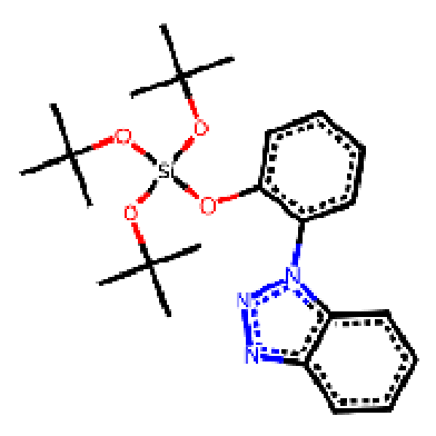 CC(C)(C)O[Si](Oc1ccccc1-n1nnc2ccccc21)(OC(C)(C)C)OC(C)(C)C